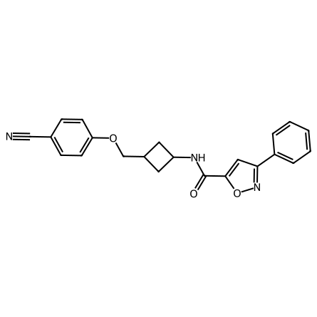 N#Cc1ccc(OCC2CC(NC(=O)c3cc(-c4ccccc4)no3)C2)cc1